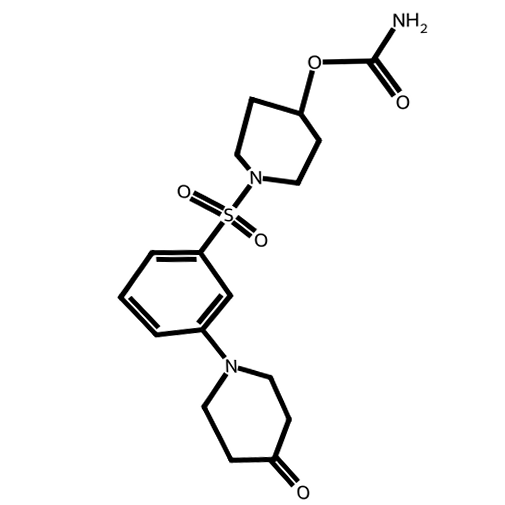 NC(=O)OC1CCN(S(=O)(=O)c2cccc(N3CCC(=O)CC3)c2)CC1